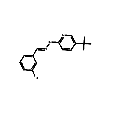 Oc1cccc(C=NNc2ccc(C(F)(F)F)cn2)c1